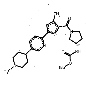 Cc1cc(-c2ccc(C3CCN(C)CC3)cn2)sc1C(=O)N1CC[C@H](NC(=O)OC(C)(C)C)C1